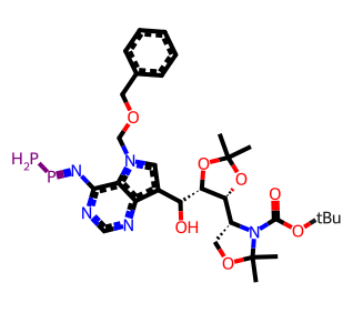 CC(C)(C)OC(=O)N1[C@@H]([C@H]2OC(C)(C)O[C@H]2C(O)c2cn(COCc3ccccc3)c3c(/N=P/P)ncnc23)COC1(C)C